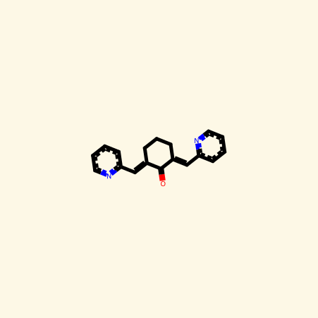 O=C1/C(=C/c2ccccn2)CCC/C1=C\c1ccccn1